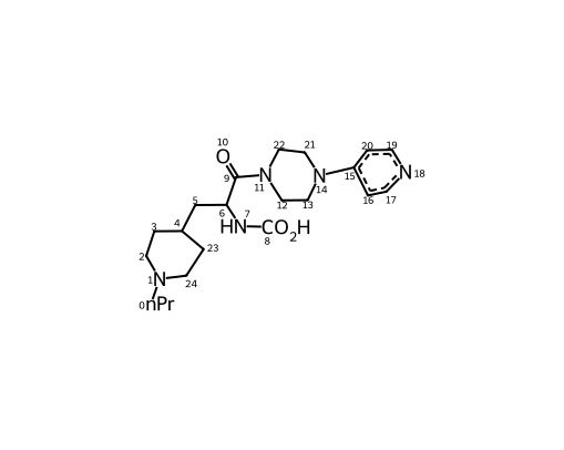 CCCN1CCC(CC(NC(=O)O)C(=O)N2CCN(c3ccncc3)CC2)CC1